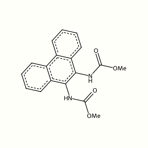 COC(=O)Nc1c(NC(=O)OC)c2ccccc2c2ccccc12